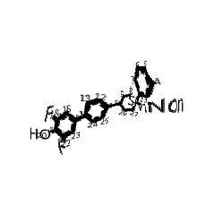 CCCCCCCCC[Si]1(c2ccccc2)CCC(c2ccc(-c3cc(F)c(O)c(F)c3)cc2)CC1